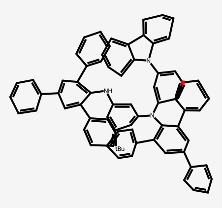 CC(C)(C)c1cc(Nc2c(-c3ccccc3)cc(-c3ccccc3)cc2-c2ccccc2)cc(N(c2cccc(-n3c4ccccc4c4ccccc43)c2)c2c(-c3ccccc3)cc(-c3ccccc3)cc2-c2ccccc2)c1